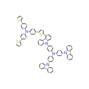 c1csc(-c2ccc(N(c3ccc(-c4cccs4)cc3)c3ccc(-c4ccc(-c5cccc6c5c5ccccc5n6-c5ccc(N(c6ccc(-n7c8ccccc8c8ccccc87)cc6)c6ccc(-n7c8ccccc8c8ccccc87)cc6)cc5)s4)cc3)cc2)c1